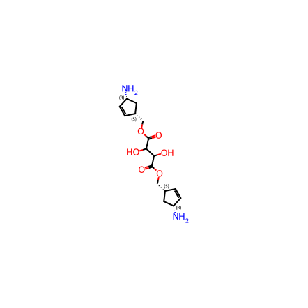 N[C@H]1C=C[C@@H](COC(=O)C(O)C(O)C(=O)OC[C@@H]2C=C[C@H](N)C2)C1